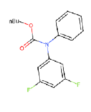 [CH2]CCCOC(=O)N(c1ccccc1)c1cc(F)cc(F)c1